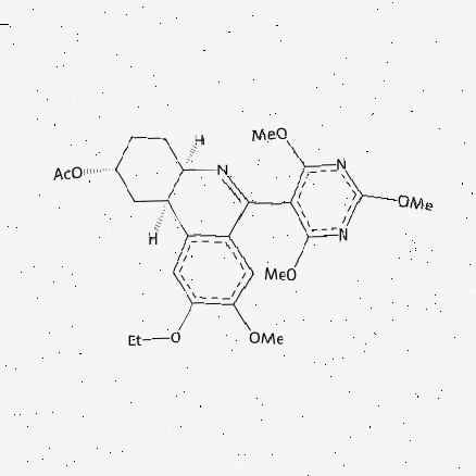 CCOc1cc2c(cc1OC)C(c1c(OC)nc(OC)nc1OC)=N[C@@H]1CC[C@@H](OC(C)=O)C[C@H]21